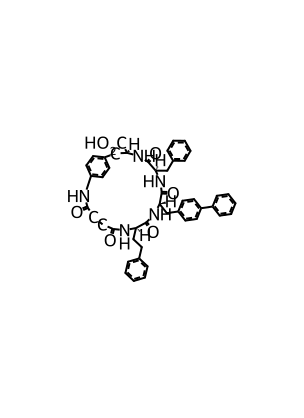 O=C1CCC(=O)N[C@H](CCc2ccccc2)C(=O)N[C@@H](Cc2ccc(-c3ccccc3)cc2)C(=O)N[C@H](Cc2ccccc2)C(=O)N[C@@H](C(=O)O)Cc2ccc(cc2)N1